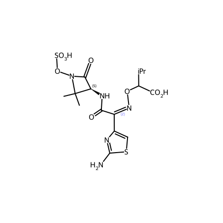 CC(C)C(O/N=C(\C(=O)N[C@@H]1C(=O)N(OS(=O)(=O)O)C1(C)C)c1csc(N)n1)C(=O)O